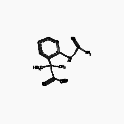 COC(=O)C(C)(C(=O)O)c1ccccc1NC(N)=O